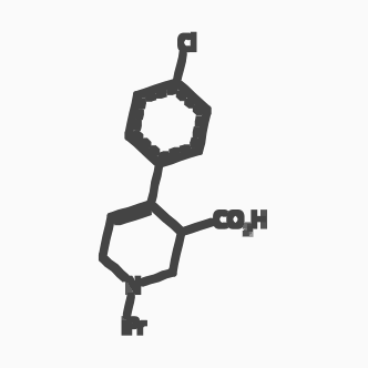 CC(C)N1CC=C(c2ccc(Cl)cc2)C(C(=O)O)C1